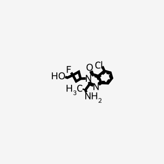 C[C@H](N)c1nc2cccc(Cl)c2c(=O)n1C1CC(F)(CO)C1